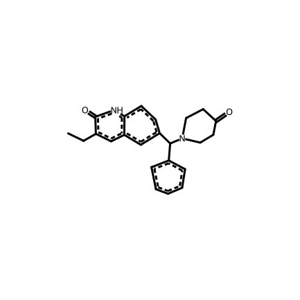 CCc1cc2cc(C(c3ccccc3)N3CCC(=O)CC3)ccc2[nH]c1=O